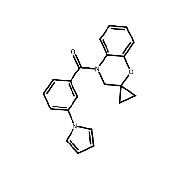 O=C(c1cccc(-n2cccc2)c1)N1CC2(CC2)Oc2ccccc21